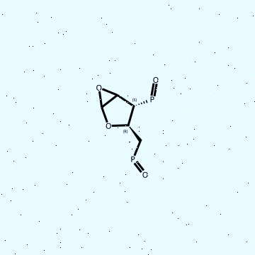 O=PC[C@H]1OC2OC2[C@@H]1P=O